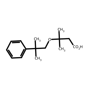 CC(C)(CC(=O)O)OCC(C)(C)c1ccccc1